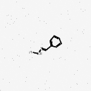 CC(C)N/N=C/c1ccccc1